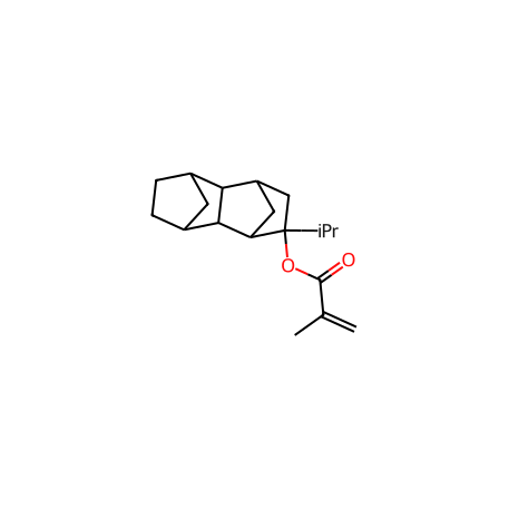 C=C(C)C(=O)OC1(C(C)C)CC2CC1C1C3CCC(C3)C21